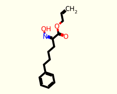 C=CCOC(=O)C(CCCCc1ccccc1)=NO